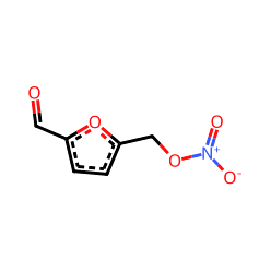 O=Cc1ccc(CO[N+](=O)[O-])o1